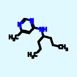 CCCC(CCC)Nc1cc(C)ncn1